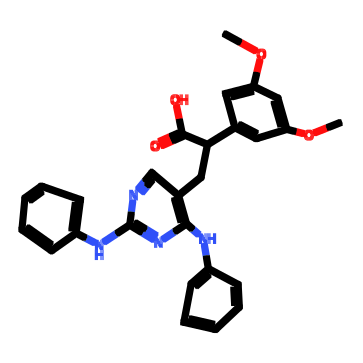 COc1cc(OC)cc(C(Cc2cnc(Nc3ccccc3)nc2Nc2ccccc2)C(=O)O)c1